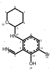 N=Cc1c(NC2CCCCO2)ccc(Br)c1O